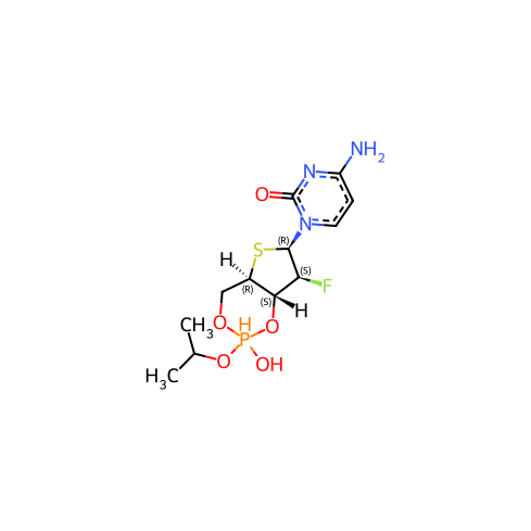 CC(C)O[PH]1(O)OC[C@H]2S[C@@H](n3ccc(N)nc3=O)[C@@H](F)[C@@H]2O1